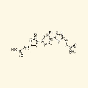 CC(=O)NC[C@H]1CN(c2ccc(-c3nnc(CCC(N)=O)s3)c(F)c2)C(=O)O1